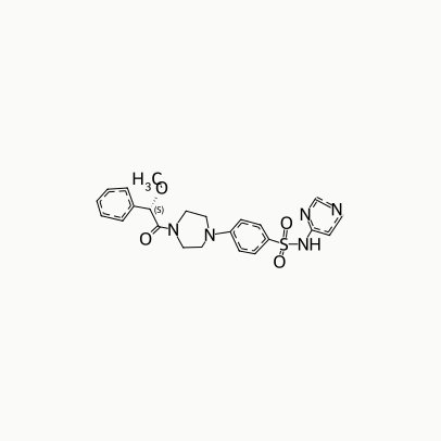 CO[C@H](C(=O)N1CCN(c2ccc(S(=O)(=O)Nc3ccncn3)cc2)CC1)c1ccccc1